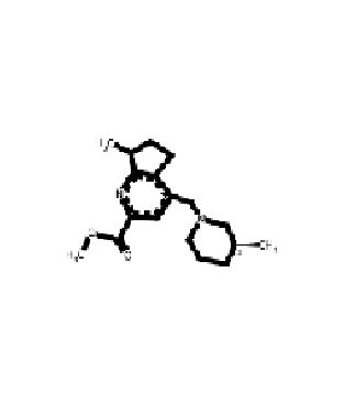 COC(=O)c1cc(CN2CCC[C@H](C)C2)c2c(n1)C(C)CC2